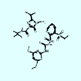 CC(C)c1nn(C(=O)NC(C)(C)C)c(=O)n1N.CCS(=O)(=O)c1cccnc1S(=O)(=O)NC(=O)Nc1nc(OC)cc(OC)n1